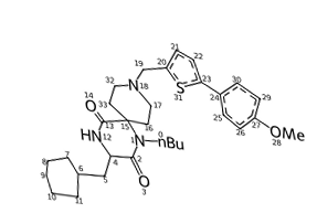 CCCCN1C(=O)C(CC2CCCCC2)NC(=O)C12CCN(Cc1ccc(-c3ccc(OC)cc3)s1)CC2